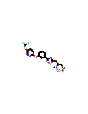 O=C(O)N[C@H](CO)Cc1nc(-c2cccc(Oc3ccc(OC(F)F)cn3)c2)no1